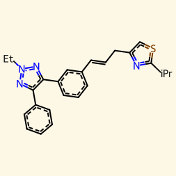 CCn1nc(-c2ccccc2)c(-c2cccc(/C=C/Cc3csc(C(C)C)n3)c2)n1